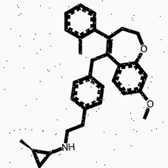 COc1ccc2c(c1)OCCC(c1ccccc1C)=C2Cc1ccc(CCNC2C[C@H]2C)cc1